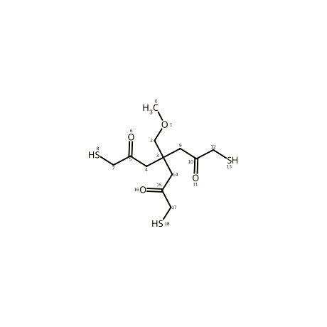 COCC(CC(=O)CS)(CC(=O)CS)CC(=O)CS